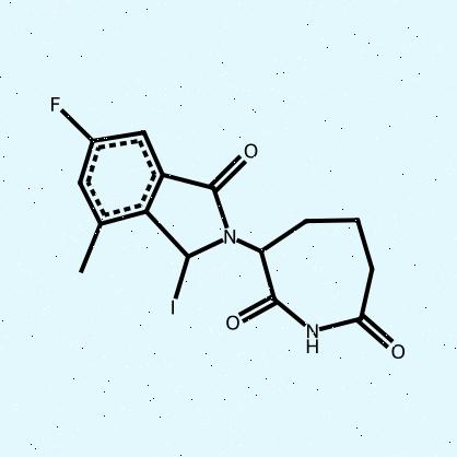 Cc1cc(F)cc2c1C(I)N(C1CCCC(=O)NC1=O)C2=O